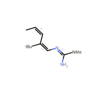 C\C=C/C(=C\N=C(/N)NC)C(C)(C)C